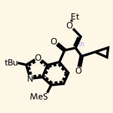 CCO/C=C(\C(=O)c1ccc(SC)c2nc(C(C)(C)C)oc12)C(=O)C1CC1